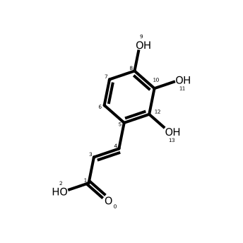 O=C(O)C=Cc1ccc(O)c(O)c1O